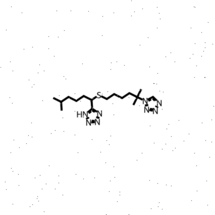 CC(C)CCCC(SCCCCC(C)(C)n1cnnn1)c1nnn[nH]1